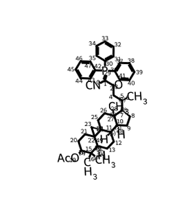 [C-]#[N+]C(C(=O)C[C@@H](C)[C@H]1CC[C@H]2[C@@H]3CC[C@H]4C(C)(C)[C@@H](OC(C)=O)CCC45C[C@@]35CC[C@]12C)=P(c1ccccc1)(c1ccccc1)c1ccccc1